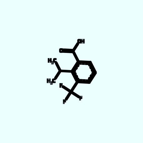 CC(C)c1c(C(=O)O)cccc1C(F)(F)F